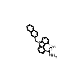 NC(=O)c1cccc2c1c1c(O)cccc1n2Cc1ccc2ccccc2c1